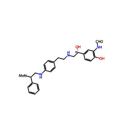 CNC(CNc1ccc(CCNC[C@H](O)c2ccc(O)c(NC=O)c2)cc1)c1ccccc1